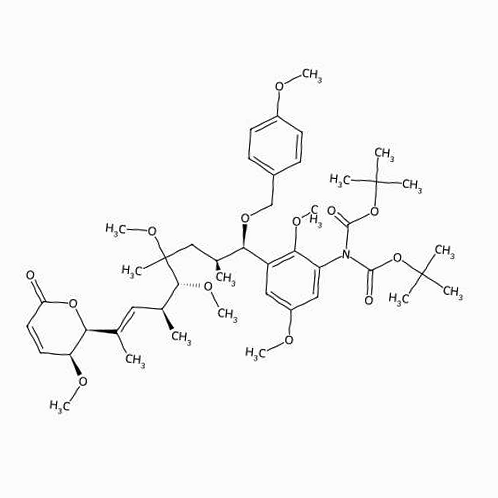 COc1ccc(CO[C@@H](c2cc(OC)cc(N(C(=O)OC(C)(C)C)C(=O)OC(C)(C)C)c2OC)[C@@H](C)CC(C)(OC)[C@H](OC)[C@@H](C)/C=C(\C)[C@@H]2OC(=O)C=C[C@@H]2OC)cc1